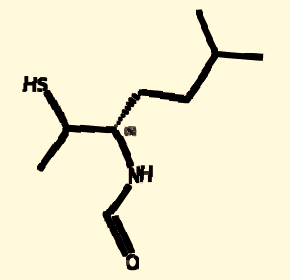 CC(C)CC[C@H](NC=O)C(C)S